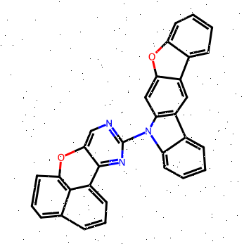 c1cc2c3c(cccc3c1)-c1nc(-n3c4ccccc4c4cc5c(cc43)oc3ccccc35)ncc1O2